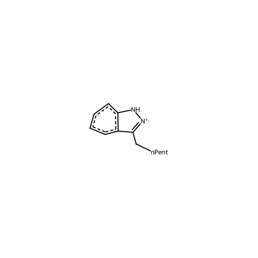 CCCCCCC1=[N+]Nc2ccccc21